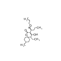 C=CCON=C(CCC)C1=C(O)C(CC)C2(CCC(C)CC2)OC1=O